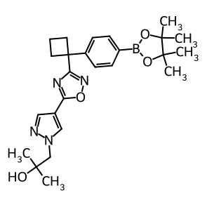 CC(C)(O)Cn1cc(-c2nc(C3(c4ccc(B5OC(C)(C)C(C)(C)O5)cc4)CCC3)no2)cn1